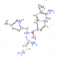 CCc1ccc(CN(C/C(N)=C/SN)C(=O)c2ccc3nc(N)c(C)cc3c2)nc1